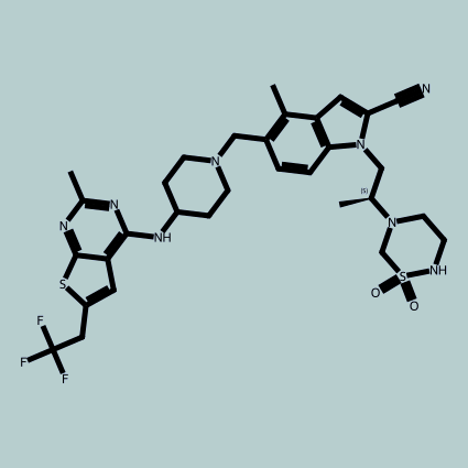 Cc1nc(NC2CCN(Cc3ccc4c(cc(C#N)n4C[C@H](C)N4CCNS(=O)(=O)C4)c3C)CC2)c2cc(CC(F)(F)F)sc2n1